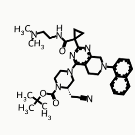 CN(C)CCNC(=O)C1(c2nc3c(c(N4CCN(C(=O)OC(C)(C)C)[C@@H](CC#N)C4)n2)CCN(c2cccc4ccccc24)C3)CC1